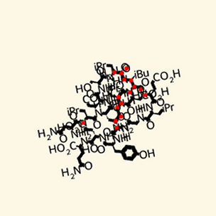 CC[C@H](C)[C@H](NC(=O)[C@H](CC(C)C)NC(=O)[C@H](CO)NC(=O)[C@H](CCC(=O)O)NC(=O)[C@H](CC(N)=O)NC(=O)[C@H](CC(C)C)NC(=O)[C@@H](N)CC(N)=O)C(=O)N[C@@H](CC(=O)O)C(=O)N[C@@H](CC(C)C)C(=O)N[C@@H](CCC(N)=O)C(=O)N[C@@H](CCC(=O)O)C(=O)N[C@@H](CC(C)C)C(=O)NCC(=O)N[C@@H](CCCCN)C(=O)N[C@@H](Cc1ccc(O)cc1)C(=O)N[C@@H](CCC(=O)O)C(=O)N[C@@H](CCC(N)=O)C(=O)O